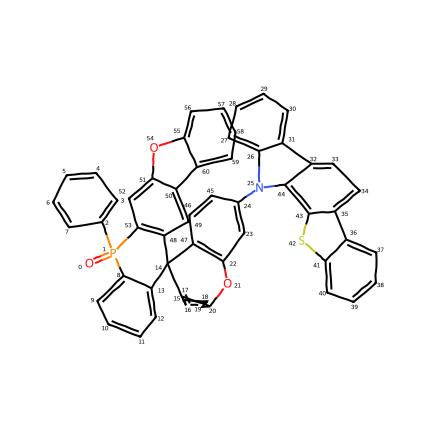 O=P1(c2ccccc2)c2ccccc2C2(c3ccccc3Oc3cc(-n4c5ccccc5c5ccc6c7ccccc7sc6c54)ccc32)c2cc3c(cc21)oc1ccccc13